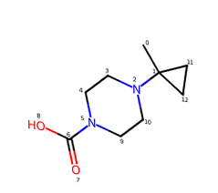 CC1(N2CCN(C(=O)O)CC2)CC1